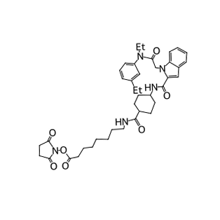 CCc1cccc(N(CC)C(=O)Cn2c(C(=O)NC3CCC(C(=O)NCCCCCCCC(=O)ON4C(=O)CCC4=O)CC3)cc3ccccc32)c1